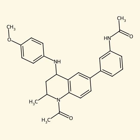 COc1ccc(NC2CC(C)N(C(C)=O)c3ccc(-c4cccc(NC(C)=O)c4)cc32)cc1